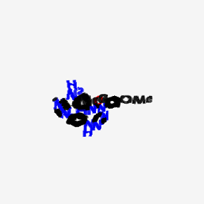 COc1ccc(N(C(=O)Nc2ccc(N)cc2)c2cc(Nc3ccc(N4CCN(C)CC4)cc3)ncn2)c(OC)c1